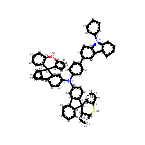 c1ccc(-n2c3ccccc3c3cc(-c4ccc(N(c5ccc6c(c5)-c5ccccc5C65c6ccccc6Sc6ccccc65)c5ccc6c(c5)C5(c7ccccc7Oc7ccccc75)c5ccccc5-6)cc4)ccc32)cc1